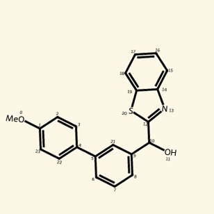 COc1ccc(-c2cccc(C(O)c3nc4ccccc4s3)c2)cc1